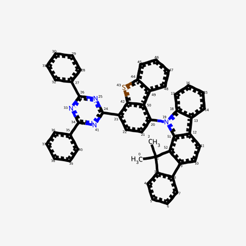 CC1(C)c2ccccc2-c2ccc3c4ccccc4n(-c4ccc(-c5nc(-c6ccccc6)nc(-c6ccccc6)n5)c5sc6ccccc6c45)c3c21